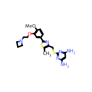 COc1ccc(-c2nc(CSc3nc(N)cc(N)n3)c(C)s2)cc1OCCN1CCC1